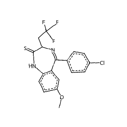 COc1ccc2c(c1)C(c1ccc(Cl)cc1)=NC(CC(F)(F)F)C(=S)N2